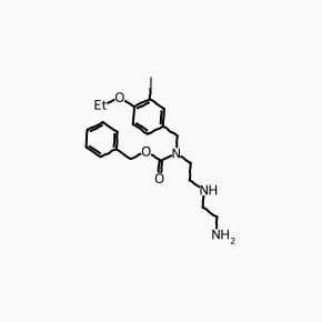 CCOc1ccc(CN(CCNCCN)C(=O)OCc2ccccc2)cc1I